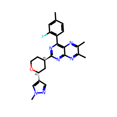 Cc1ccc(-c2nc([C@@H]3CCO[C@@H](c4cnn(C)c4)C3)nc3nc(C)c(C)nc23)c(F)c1